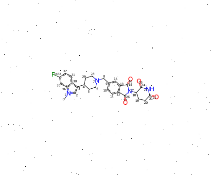 Cn1cc(C2CCN(Cc3ccc4c(c3)C(=O)N(C3CCC(=O)NC3=O)C4=O)CC2)c2ccc(F)cc21